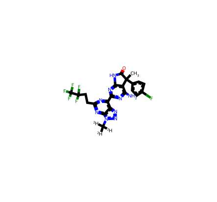 [2H]C([2H])([2H])n1nnc2c(-c3nc(N)c4c(n3)NC(=O)C4(C)c3ccc(F)cc3)nc(CCC(F)(F)C(F)(F)F)nc21